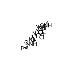 CCNC(=O)C(C)c1c(F)c(Cl)c(-c2cn3cc(NC(=O)[C@@H]4C[C@@H]4F)nc3cn2)c2cn[nH]c12